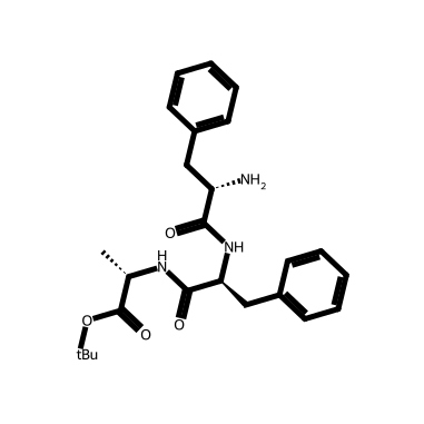 C[C@H](NC(=O)[C@H](Cc1ccccc1)NC(=O)[C@@H](N)Cc1ccccc1)C(=O)OC(C)(C)C